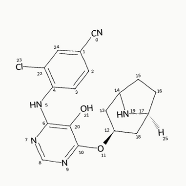 N#Cc1ccc(Nc2ncnc(O[C@H]3CC4CC[C@@H](C3)N4)c2O)c(Cl)c1